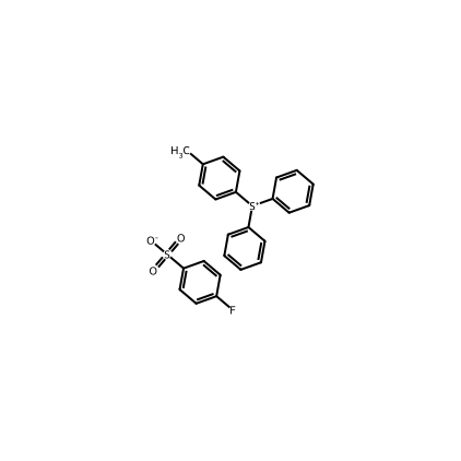 Cc1ccc([S+](c2ccccc2)c2ccccc2)cc1.O=S(=O)([O-])c1ccc(F)cc1